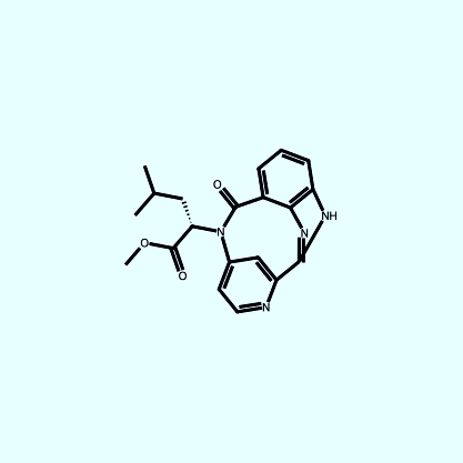 COC(=O)[C@H](CC(C)C)n1c(=O)c2cccc3[nH]c(nc32)c2cc1ccn2